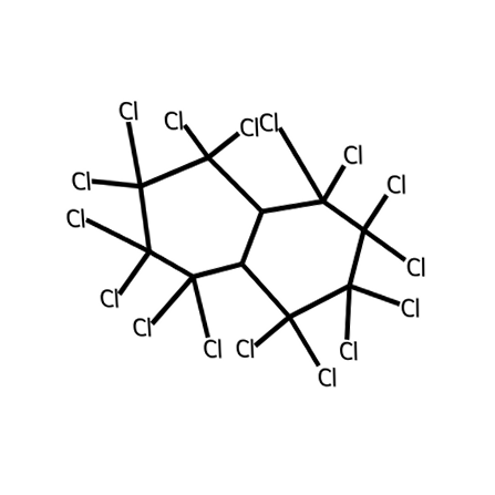 ClC1(Cl)C2C(C(Cl)(Cl)C(Cl)(Cl)C1(Cl)Cl)C(Cl)(Cl)C(Cl)(Cl)C(Cl)(Cl)C2(Cl)Cl